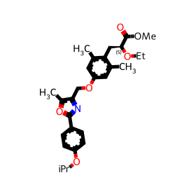 CCO[C@@H](Cc1c(C)cc(OCc2nc(-c3ccc(OC(C)C)cc3)oc2C)cc1C)C(=O)OC